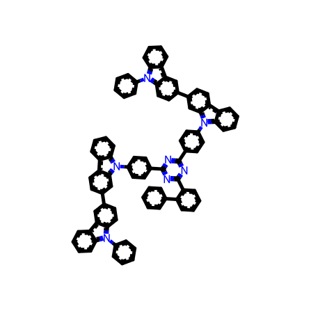 c1ccc(-c2ccccc2-c2nc(-c3ccc(-n4c5ccccc5c5ccc(-c6ccc7c(c6)c6ccccc6n7-c6ccccc6)cc54)cc3)nc(-c3ccc(-n4c5ccccc5c5ccc(-c6ccc7c(c6)c6ccccc6n7-c6ccccc6)cc54)cc3)n2)cc1